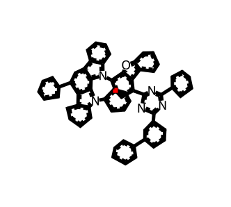 c1ccc(-c2cccc(-c3nc(-c4ccccc4)nc(-c4ccc(-n5c6ccccc6c6cc(-c7ccccc7)c7c8ccccc8n(-c8ccccc8)c7c65)c5oc6ccccc6c45)n3)c2)cc1